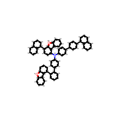 c1ccc(-c2cccc3oc4ccccc4c23)c(-c2ccc(N(c3ccc(-c4ccc(-c5cccc6ccccc56)cc4)cc3)c3ccc(-c4cccc5ccccc45)c4oc5ccccc5c34)cc2)c1